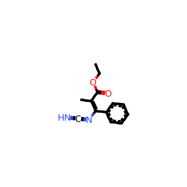 CCOC(=O)C(C)=C(N=C=N)c1ccccc1